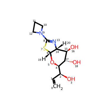 C=C[C@H](O)[C@H]1O[C@@H]2SC(N3CCC3)=N[C@@H]2[C@@H](O)[C@@H]1O